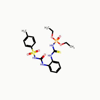 CCOP(=O)(NC(=S)Nc1ccccc1NC(=O)NS(=O)(=O)c1ccc(C)cc1)OCC